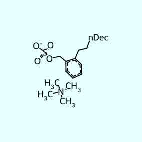 CCCCCCCCCCCCc1ccccc1COS(=O)(=O)[O-].C[N+](C)(C)C